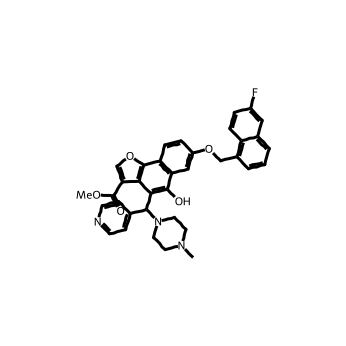 COC(=O)c1coc2c1c(C(c1ccncc1)N1CCN(C)CC1)c(O)c1cc(OCc3cccc4cc(F)ccc34)ccc12